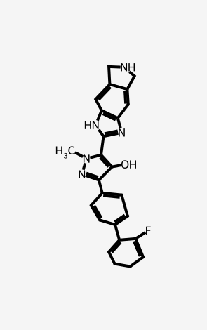 Cn1nc(-c2ccc(C3=CCCC=C3F)cc2)c(O)c1-c1nc2cc3c(cc2[nH]1)CNC3